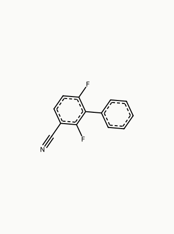 N#Cc1ccc(F)c(-c2ccccc2)c1F